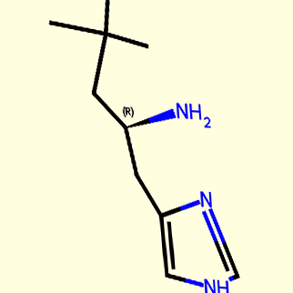 CC(C)(C)C[C@@H](N)Cc1c[nH]cn1